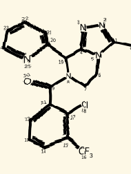 Cc1nnc2n1CCN(C(=O)c1cccc(C(F)(F)F)c1Cl)C2c1ccccn1